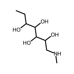 CCC(O)C(O)C(O)C(O)CNC